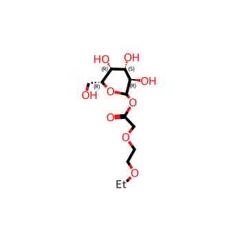 CCOCCOCC(=O)OC1O[C@H](CO)[C@H](O)[C@H](O)[C@H]1O